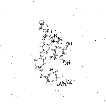 CC(=O)NCc1ccc(CN2CCC(Cc3ccc(-n4c(C(=O)NCC(F)(F)F)nnc4-c4cc(C(C)C)c(O)cc4O)cc3)CC2)cc1